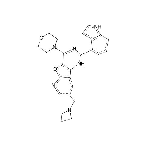 c1cc(C2N=C(N3CCOCC3)c3oc4ncc(CN5CCC5)cc4c3N2)c2cc[nH]c2c1